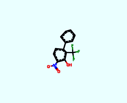 O=[N+]([O-])c1ccc(-c2ccccc2)c(C(F)(F)F)c1O